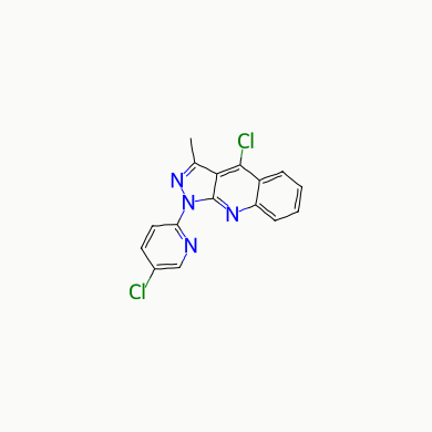 Cc1nn(-c2ccc(Cl)cn2)c2nc3ccccc3c(Cl)c12